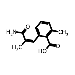 CC(=Cc1cccc(C)c1C(=O)O)C(N)=O